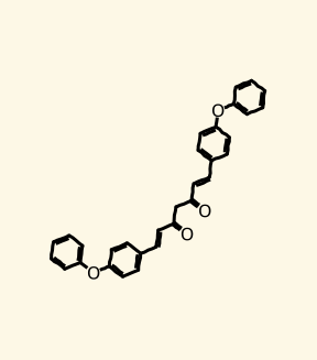 O=C(C=Cc1ccc(Oc2ccccc2)cc1)CC(=O)C=Cc1ccc(Oc2ccccc2)cc1